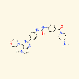 CCn1ccc2nc(-c3ccc(NC(=O)Nc4ccc(C(=O)N5CCC(N(C)C)CC5)cc4)cc3)nc(N3CCOCC3)c21